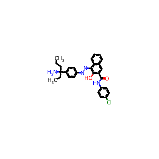 CCCC(N)(CC)c1ccc(N=Nc2c(O)c(C(=O)Nc3ccc(Cl)cc3)cc3ccccc23)cc1